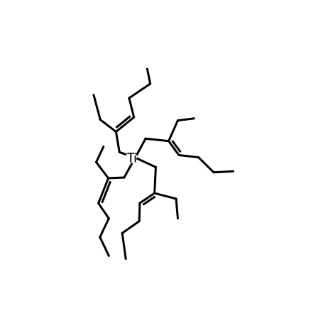 CCCC=C(CC)[CH2][Ti]([CH2]C(=CCCC)CC)([CH2]C(=CCCC)CC)[CH2]C(=CCCC)CC